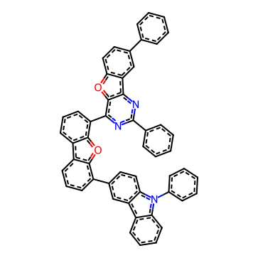 c1ccc(-c2ccc3oc4c(-c5cccc6c5oc5c(-c7ccc8c(c7)c7ccccc7n8-c7ccccc7)cccc56)nc(-c5ccccc5)nc4c3c2)cc1